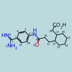 N=C(N)c1ccc(NC(=O)CCC2CCCCC2CC(=O)O)cc1